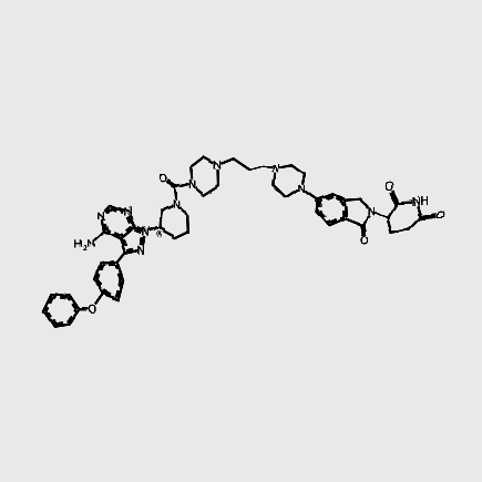 Nc1ncnc2c1c(-c1ccc(Oc3ccccc3)cc1)nn2[C@@H]1CCCN(C(=O)N2CCN(CCCN3CCN(c4ccc5c(c4)CN(C4CCC(=O)NC4=O)C5=O)CC3)CC2)C1